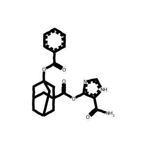 NC(=O)c1[nH]cnc1OC(=O)C12CC3CC(CC(OC(=O)c4ccccc4)(C3)C1)C2